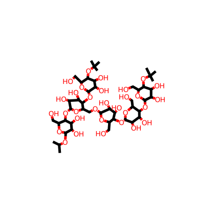 CC(C)OC1OC(CO)C(OC2OC(COC3OC(CO)C(OC4OC(CO)C(OC5OC(CO)C(OC(C)(C)C)C(O)C5O)C(O)C4O)C(O)C3O)C(OC3OC(CO)C(OC(C)(C)C)C(O)C3O)C(O)C2O)C(O)C1O